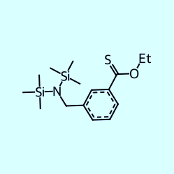 CCOC(=S)c1cccc(CN([Si](C)(C)C)[Si](C)(C)C)c1